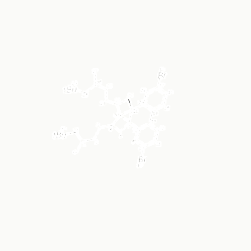 CC(CCC1C[C@@]23c4cc(Br)ccc4-c4ccc(Br)cc4[C@]24CC(CCC(C)CC(C)(C)C)C134)CC(C)(C)C